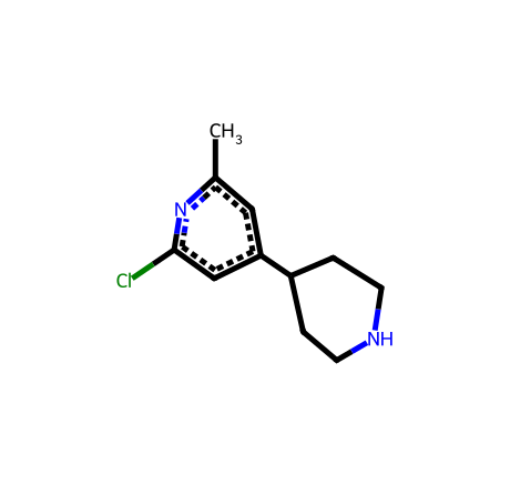 Cc1cc(C2CCNCC2)cc(Cl)n1